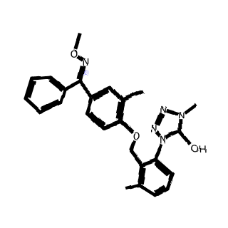 CO/N=C(\c1ccccc1)c1ccc(OCc2c(C)cccc2N2N=NN(C)C2O)c(C)c1